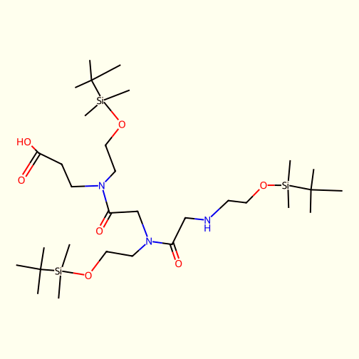 CC(C)(C)[Si](C)(C)OCCNCC(=O)N(CCO[Si](C)(C)C(C)(C)C)CC(=O)N(CCO[Si](C)(C)C(C)(C)C)CCC(=O)O